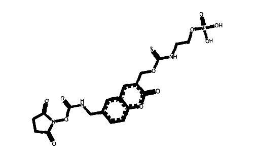 O=C(NCc1ccc2oc(=O)c(COC(=S)NCCOP(=O)(O)O)cc2c1)ON1C(=O)CCC1=O